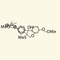 COCOc1ccc(C2(SC)COc3cc(OCOC)ccc3C2(O)c2ccc(O[Si](C)(C)C(C)(C)C)cc2)cc1